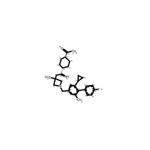 Cc1cc(CN2CC(C)(CC(=N)[C@H]3CC[C@H](C(C)=O)CC3)C2)cc(C2CC2)c1-c1ccc(F)cc1